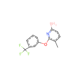 Bc1ccc(C)c(Oc2cccc(C(F)(F)F)c2)n1